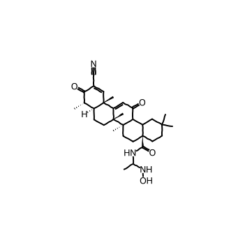 CC(NO)NC(=O)[C@]12CCC(C)(C)CC1C1C(=O)C=C3[C@@]4(C)C=C(C#N)C(=O)[C@@H](C)[C@@H]4CC[C@@]3(C)[C@]1(C)CC2